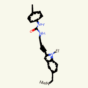 CCn1c(C#CCNC(=O)Nc2ccc(C)cc2)cc2cc(CNC)ccc21